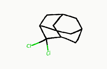 ClC1(Cl)C2CC3CC(C2)CC1C3